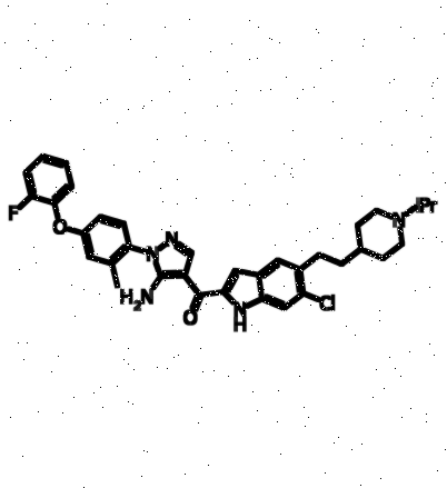 Cc1cc(Oc2ccccc2F)ccc1-n1ncc(C(=O)c2cc3cc(CCC4CCN(C(C)C)CC4)c(Cl)cc3[nH]2)c1N